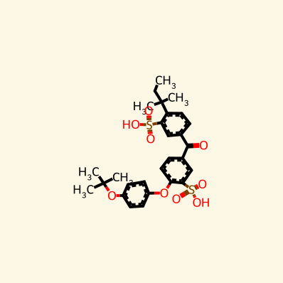 CCC(C)(C)c1ccc(C(=O)c2ccc(Oc3ccc(OC(C)(C)C)cc3)c(S(=O)(=O)O)c2)cc1S(=O)(=O)O